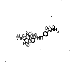 COC12CCC(=O)C[C@@]1(c1c(C)ccc(C(=O)NCCc3ccc(/C(=C/N)C(=O)N=O)cc3)c1O)CCN(C)C2C